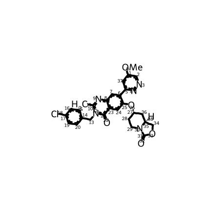 COc1cnnc(-c2cc3nc(C)n(Cc4ccc(Cl)cc4)c(=O)c3cc2O[C@H]2CCN3C(=O)OC[C@@H]3C2)c1